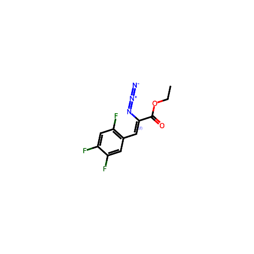 CCOC(=O)/C(=C/c1cc(F)c(F)cc1F)N=[N+]=[N-]